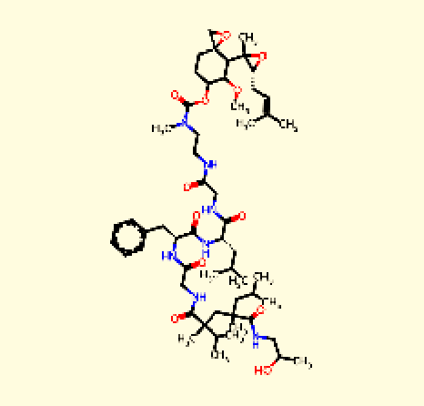 COC1C(OC(=O)N(C)CCNC(=O)CNC(=O)[C@H](CC(C)C)NC(=O)[C@H](Cc2ccccc2)NC(=O)CNC(=O)C(C)(CC(C)(CC(C)C)C(=O)NCC(C)O)C(C)C)CC[C@]2(CO2)C1C1(C)O[C@@H]1CC=C(C)C